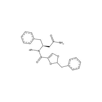 CCCN(C(=O)C1=COC(Cc2ccccc2)O1)[C@H](CC(N)=O)Cc1ccccc1